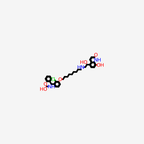 O=C(O)NC(c1ccccc1)c1cccc(OCCCCCCCCCNC[C@H](O)c2ccc(O)c3[nH]c(=O)ccc23)c1Cl